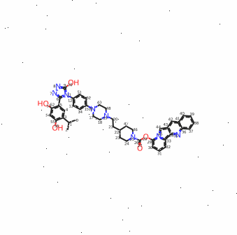 CC(C)c1cc(-c2nnc(O)n2-c2ccc(N3CCN(CCC4CCN(C(=O)Oc5cccc6c7nc8ccccc8cc7cn56)CC4)CC3)cc2)c(O)cc1O